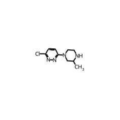 CC1CN(c2ccc(Cl)nn2)CCN1